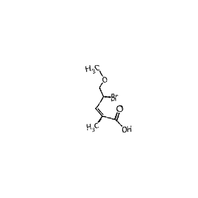 COCC(Br)C=C(C)C(=O)O